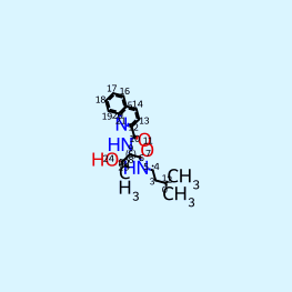 CC(C)C[CH]NC(=O)[C@@H](NC(=O)c1ccc2ccccc2n1)[C@@H](C)O